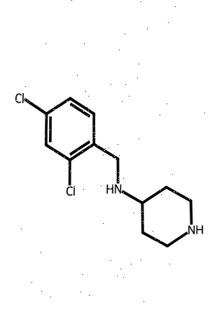 Clc1ccc(CNC2CCNCC2)c(Cl)c1